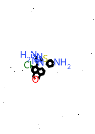 Nc1cccc(Sc2nc(N)nc(-c3c(Cl)cc4c5c(cccc35)COC4)n2)c1